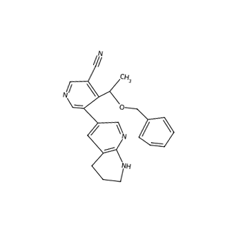 CC(OCc1ccccc1)c1c(C#N)cncc1-c1cnc2c(c1)CCCN2